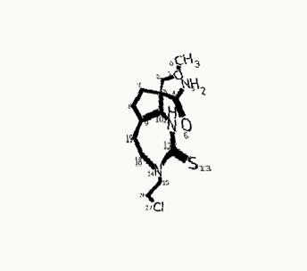 COC[C@]1(C(N)=O)CCC2=C1NC(=S)N(CCCl)CC2